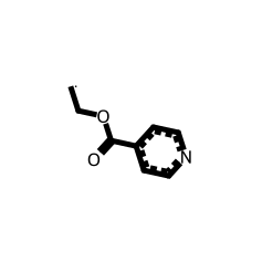 [CH2]COC(=O)c1ccncc1